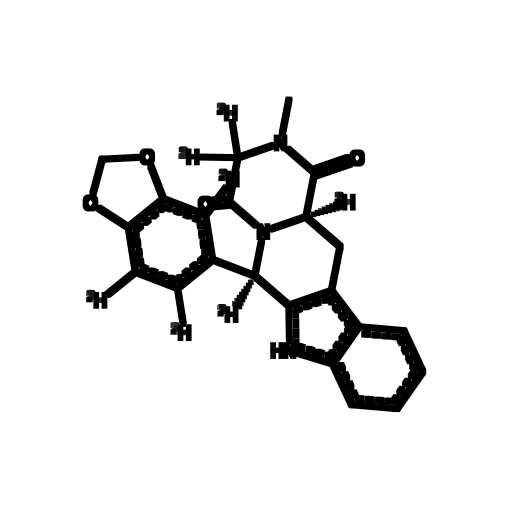 [2H]c1c([2H])c([C@]2([2H])c3[nH]c4ccccc4c3C[C@]3([2H])C(=O)N(C)C([2H])([2H])C(=O)N23)c([2H])c2c1OCO2